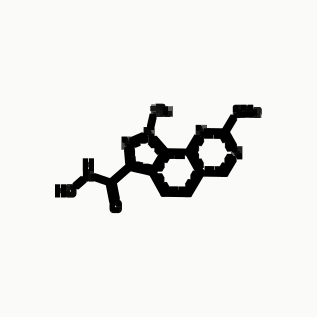 CSc1ncc2ccc3c(C(=O)NO)nn(C(C)(C)C)c3c2n1